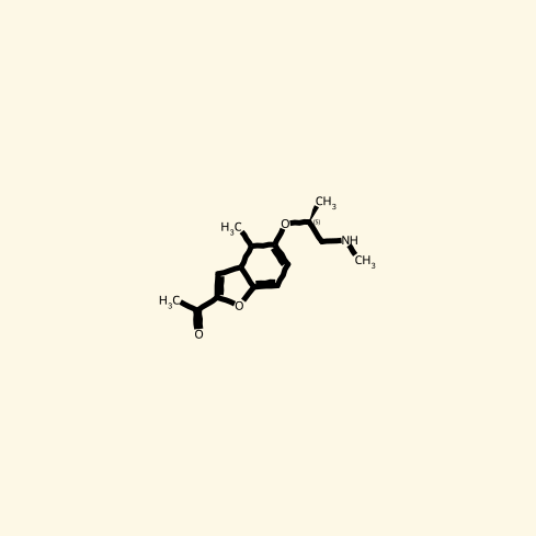 CNC[C@H](C)OC1=CC=C2OC(C(C)=O)=CC2C1C